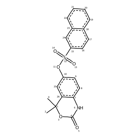 CC1(C)OC(=O)Nc2ccc(OS(=O)(=O)c3ccc4ccccc4c3)cc21